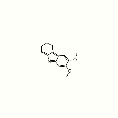 COc1cc2c(cc1OC)=C1C[CH]CC=C1N=2